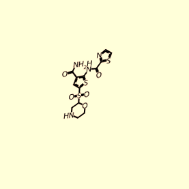 NC(=O)c1cc(S(=O)(=O)C2CNCCO2)sc1NC(=O)c1nccs1